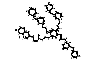 C=C/C(=C\C=C/NCCCc1cc(CCC[n+]2cccc(Cc3ccccc3)c2)c(CCC[n+]2cccc(Cc3ccccc3)c2)cc1CCC[n+]1cccc(Cc2ccccc2)c1)Cc1ccccc1